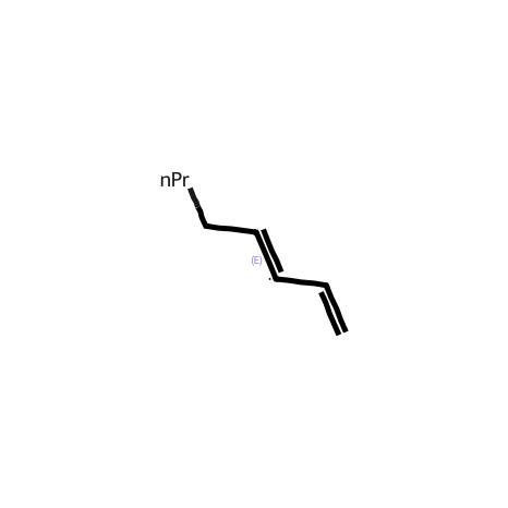 C=C/[C]=C/CCCC